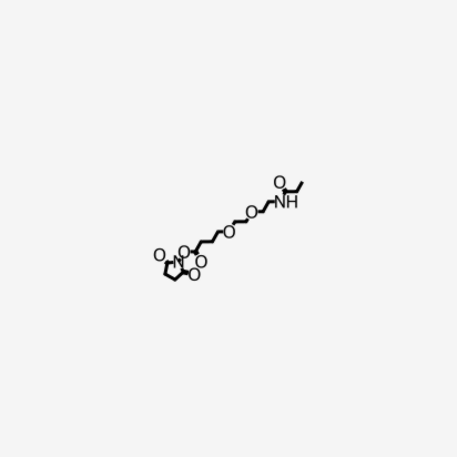 CCC(=O)NCCOCCOCCCC(=O)ON1C(=O)CCC1=O